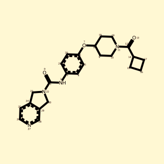 O=C(Nc1ccc(OC2CCN(C(=O)C3CCC3)CC2)cc1)N1Cc2ccncc2C1